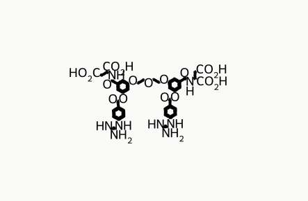 N=C(N)Nc1ccc(C(=O)Oc2cc(OCCOCCOc3cc(OC(=O)c4ccc(NC(=N)N)cc4)cc(C(=O)N[C@H](CC(=O)O)C(=O)O)c3)cc(C(=O)N[C@H](CC(=O)O)C(=O)O)c2)cc1